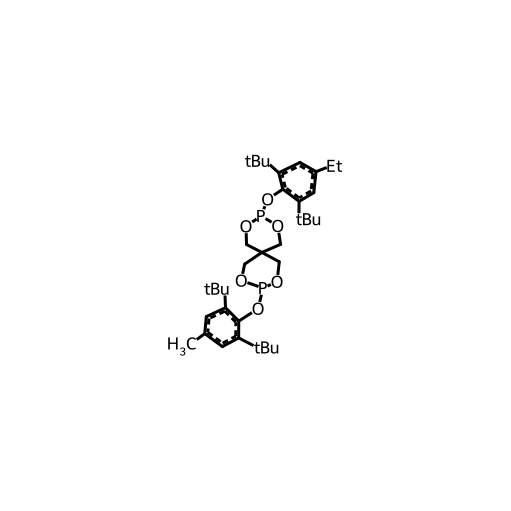 CCc1cc(C(C)(C)C)c(OP2OCC3(COP(Oc4c(C(C)(C)C)cc(C)cc4C(C)(C)C)OC3)CO2)c(C(C)(C)C)c1